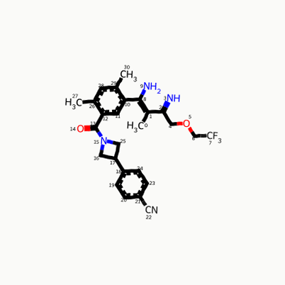 C/C(C(=N)COCC(F)(F)F)=C(/N)c1cc(C(=O)N2CC(c3ccc(C#N)cc3)C2)c(C)cc1C